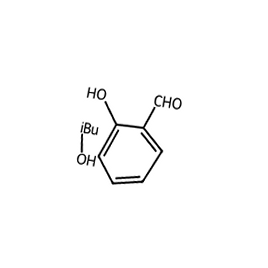 CCC(C)O.O=Cc1ccccc1O